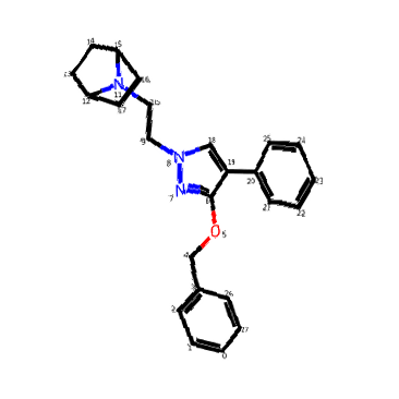 c1ccc(COc2nn(CCN3C4CCC3CC4)cc2-c2ccccc2)cc1